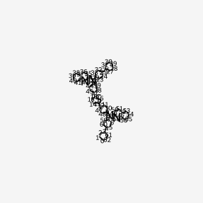 c1ccc(-c2ccc(N(c3ccc(-c4ccc(-c5ccc(N(c6ccc(-c7ccccc7)cc6)c6ccc7ccccc7n6)cc5)s4)cc3)c3ccc4ccccc4n3)cc2)cc1